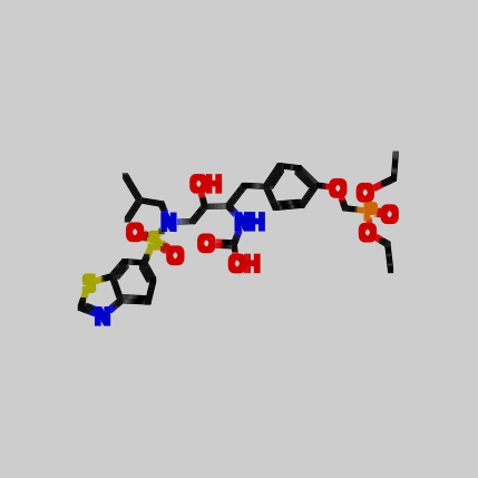 CCOP(=O)(COc1ccc(CC(NC(=O)O)C(O)CN(CC(C)C)S(=O)(=O)c2ccc3ncsc3c2)cc1)OCC